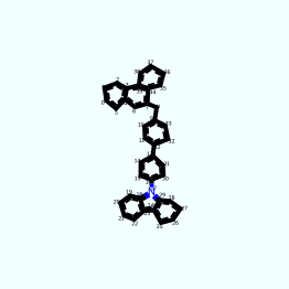 c1ccc2c(c1)cc(Cc1ccc(-c3ccc(-n4c5ccccc5c5ccccc54)cc3)cc1)c1ccccc12